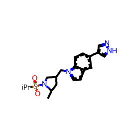 CC1CC(Cn2ccc3cc(-c4cn[nH]c4)ccc32)CN1S(=O)(=O)C(C)C